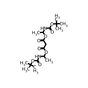 CC(NC(=O)OC(C)(C)C)OC(=O)CC(=O)OC(C)NC(=O)OC(C)(C)C